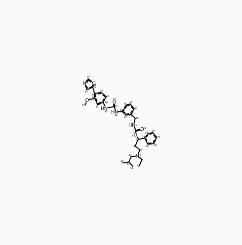 CCN(CCC(OC(=O)NCc1cccc(NC(=O)Nc2ccc(-c3cnco3)c(OC)c2)c1)c1ccccc1)CC(C)C